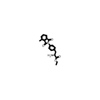 CCOC(=O)[C@@H](N)Cc1ccc(N2C(=O)c3cccc(C)c3C2=O)cc1